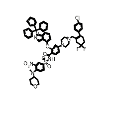 CN(c1ccc(S(=O)(=O)NC(=O)c2ccc(N3CCN(CC4=C(c5ccc(Cl)cc5)CCC(F)(F)C4)CC3)cc2Oc2cccc3c2cnn3C(c2ccccc2)(c2ccccc2)c2ccccc2)cc1[N+](=O)[O-])C1CCOCC1